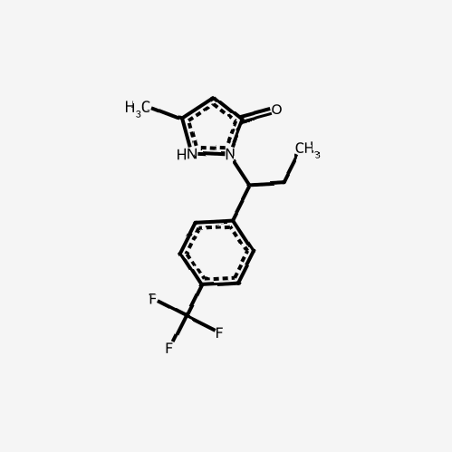 CCC(c1ccc(C(F)(F)F)cc1)n1[nH]c(C)cc1=O